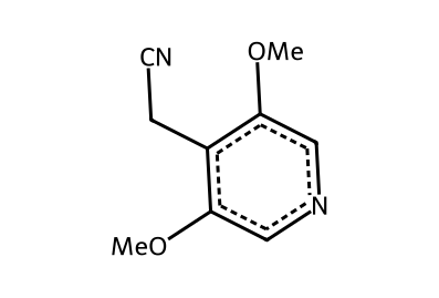 COc1cncc(OC)c1CC#N